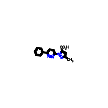 Cc1cc(C(=O)O)n(-c2ccc(-c3ccccc3)nn2)n1